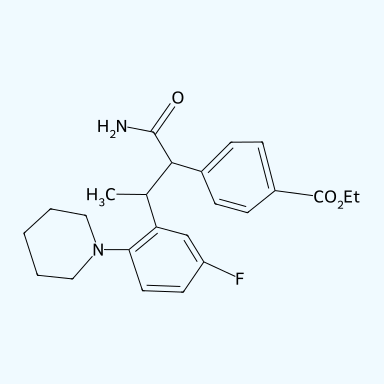 CCOC(=O)c1ccc(C(C(N)=O)C(C)c2cc(F)ccc2N2CCCCC2)cc1